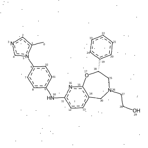 Cc1cncn1-c1ccc(Nc2ccc3c(n2)O[C@H](c2ccccc2)CN(CCO)C3)cc1